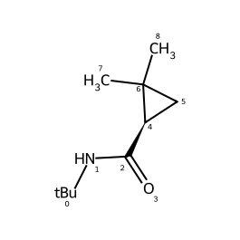 CC(C)(C)NC(=O)[C@@H]1CC1(C)C